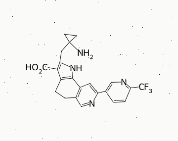 NC1(Cc2[nH]c3c(c2C(=O)O)CCc2cnc(-c4ccc(C(F)(F)F)nc4)cc2-3)CC1